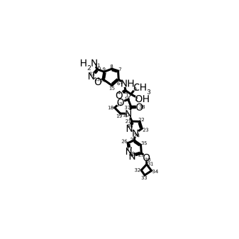 CC(O)(C(=O)Nc1ccc2c(N)noc2c1)[C@H]1OCCN(c2ccn(-c3cnnc(OC4CCC4)c3)n2)C1=O